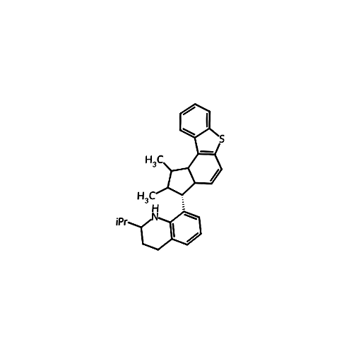 CC(C)C1CCc2cccc([C@@H]3C(C)C(C)C4c5c(sc6ccccc56)C=CC43)c2N1